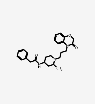 CC1CC(NC(=O)Cc2ccccc2)CCN1CCCN1C(=O)COc2ccccc21